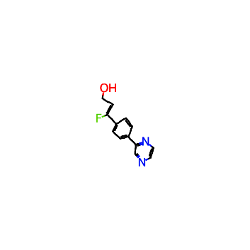 OCC=C(F)c1ccc(-c2cnccn2)cc1